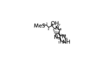 CSCCC(O)CN(C)Cc1cnc2c[nH]cnc1-2